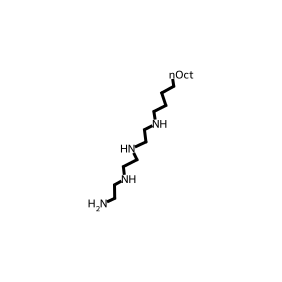 CCCCCCCCCCCCNCCNCCNCCN